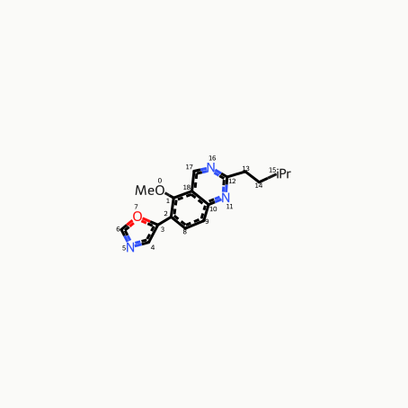 COc1c(-c2cnco2)ccc2nc(CCC(C)C)ncc12